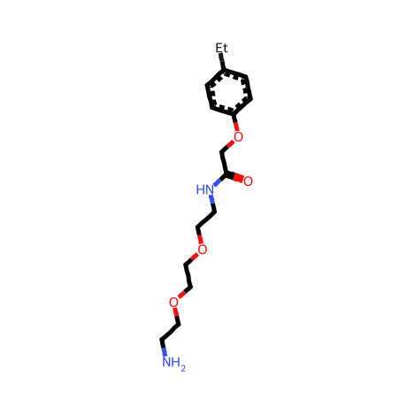 CCc1ccc(OCC(=O)NCCOCCOCCN)cc1